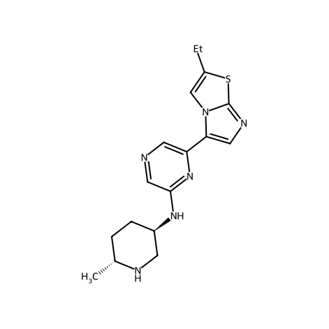 CCc1cn2c(-c3cncc(N[C@@H]4CC[C@@H](C)NC4)n3)cnc2s1